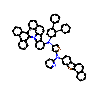 c1ccc(-c2ccc(N(c3csc(N(c4ccc5c(c4)sc4c6ccccc6ccc54)c4ccccn4)c3)c3cccc4c3c3ccc5cccc6c5c3n4c3c4ccccc4c4ccccc4c63)cc2-c2ccccc2)cc1